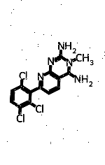 CN1C(N)=Nc2nc(-c3c(Cl)ccc(Cl)c3Cl)ccc2C1N